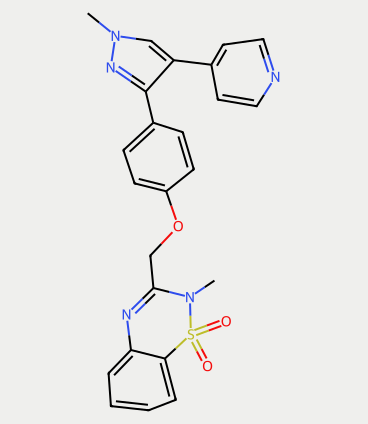 CN1C(COc2ccc(-c3nn(C)cc3-c3ccncc3)cc2)=Nc2ccccc2S1(=O)=O